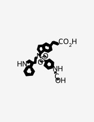 O=C(O)C=Cc1ccc2c(c1)CCC2N(CCc1c[nH]c2ccccc12)S(=O)(=O)c1ccc(NCCO)cc1